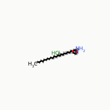 CCCCCCCCCCCCCCCCCCCCCCC12CCN(CC1)C(N)C2.Cl